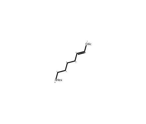 CCCCCCCCCCC=COC(C)=O